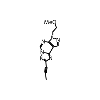 CC#Cc1nc2c3cnn(CCOC)c3ncn2n1